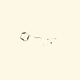 CCOP(O)(=S)OOCCOc1ccccc1